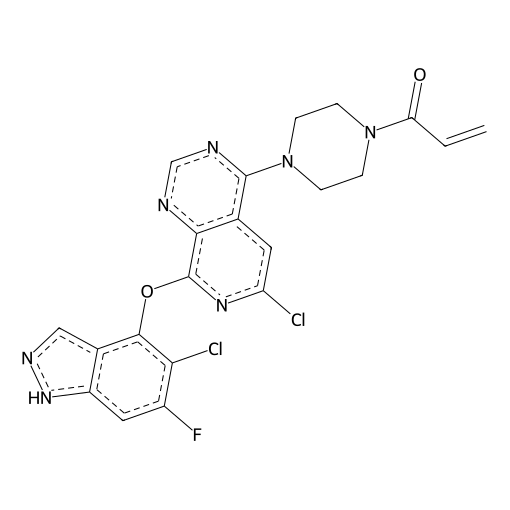 C=CC(=O)N1CCN(c2ncnc3c(Oc4c(Cl)c(F)cc5[nH]ncc45)nc(Cl)cc23)CC1